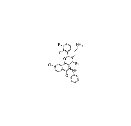 CCC(c1nc2cc(Cl)ccc2c(=O)n1Nc1ccccc1)N(CCCN)C(=O)c1cccc(F)c1F